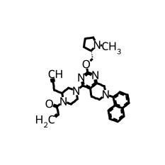 C#CCC1CN(c2nc(OC[C@@H]3CCCN3C)nc3c2CCN(c2cccc4ccccc24)C3)CCN1C(=O)C=C